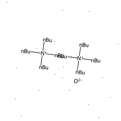 CCCC[N+](CCCC)(CCCC)CCCC.CCCC[N+](CCCC)(CCCC)CCCC.[O-2]